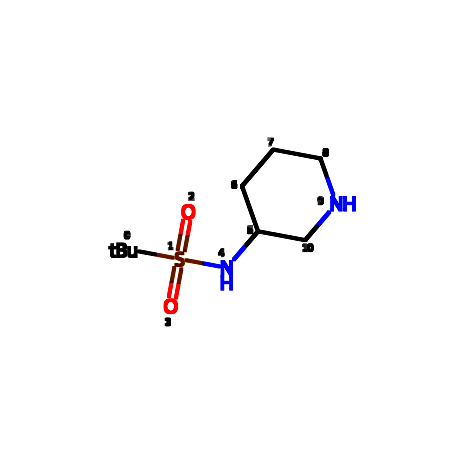 CC(C)(C)S(=O)(=O)NC1CCCNC1